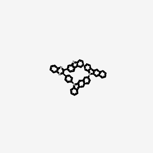 c1ccc2cc3c(cc2c1)c1ccccc1n3-c1ccc2cc3c4ccccc4n(-c4ccc(-c5nc6ccccc6nc5-c5ccc6c(c5)sc5ccccc56)cc4)c3cc2c1